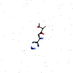 CCC(C)C(C(=O)OC)c1cc(-c2cnc(OC)nc2)no1